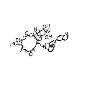 CC[C@H]1OC(=O)C[C@@H](O)[C@H](C)[C@@H](O[C@@H]2O[C@H](C)[C@@H](O)C(N(C)C)C2O)[C@@H](CCN(Cc2ccccc2)Cc2cn(-c3ccc4ncccc4c3)nn2)C[C@@H](C)C(=O)/C=C/C(C)=C/[C@@H]1CO